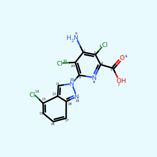 Nc1c(Cl)c(C(=O)O)nc(-n2cc3c(Cl)cccc3n2)c1Cl